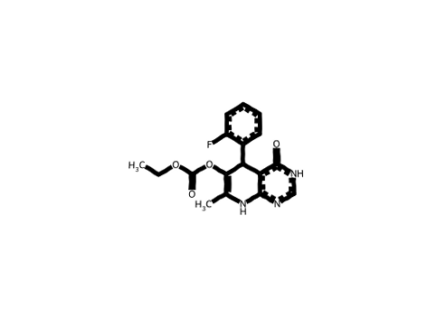 CCOC(=O)OC1=C(C)Nc2nc[nH]c(=O)c2C1c1ccccc1F